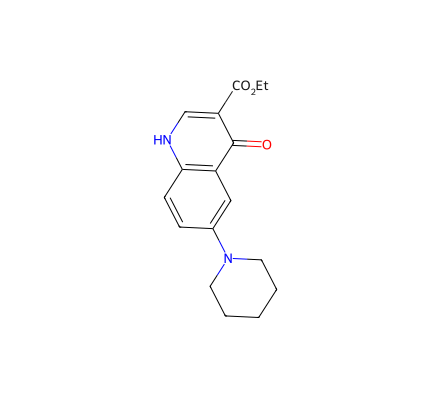 CCOC(=O)c1c[nH]c2ccc(N3CCCCC3)cc2c1=O